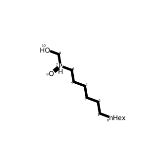 CCCCCCCCCCCC[PH](=O)CO